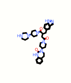 O=C(CC(Cc1ccc2[nH]ncc2c1)C(=O)N1CCC(N2CCCNCC2)CC1)N1CCC(N2CCc3ccccc3NC2=O)CC1